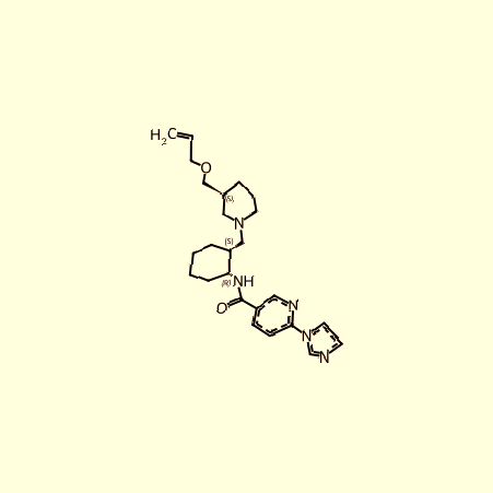 C=CCOC[C@H]1CCCN(C[C@@H]2CCCC[C@H]2NC(=O)c2ccc(-n3ccnc3)nc2)C1